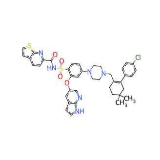 CC1(C)CCC(CN2CCN(c3ccc(S(=O)(=O)NC(=O)c4ccc5ccsc5n4)c(Oc4cnc5[nH]ccc5c4)c3)CC2)=C(c2ccc(Cl)cc2)C1